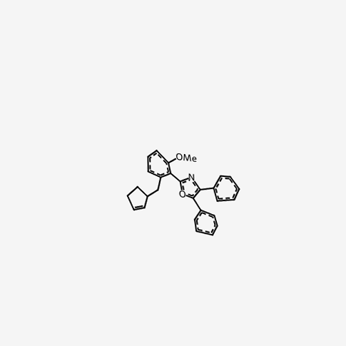 COc1cccc(CC2C=CCC2)c1-c1nc(-c2ccccc2)c(-c2ccccc2)o1